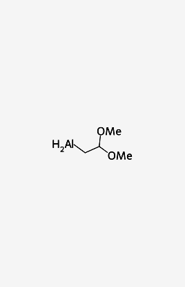 COC([CH2][AlH2])OC